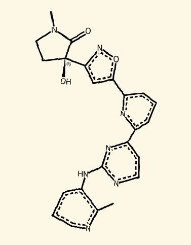 Cc1ncccc1Nc1nccc(-c2cccc(-c3cc([C@]4(O)CCN(C)C4=O)no3)n2)n1